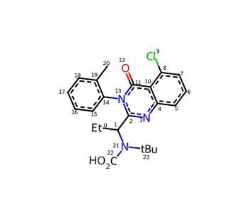 CCC(c1nc2cccc(Cl)c2c(=O)n1-c1ccccc1C)N(C(=O)O)C(C)(C)C